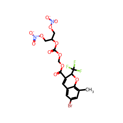 Cc1cc(Br)cc2c1OC(C(F)(F)F)C(C(=O)OCOC(=O)OC(CO[N+](=O)[O-])CO[N+](=O)[O-])=C2